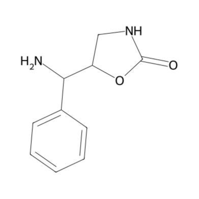 NC(c1ccccc1)C1CNC(=O)O1